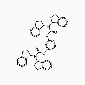 O=C(Oc1ccnc(OC(=O)N(C2CCc3ccccc32)C2CCc3ccccc32)c1)N(C1CCc2ccccc21)C1CCc2ccccc21